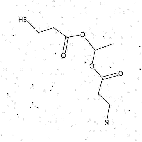 CC(OC(=O)CCS)OC(=O)CCS